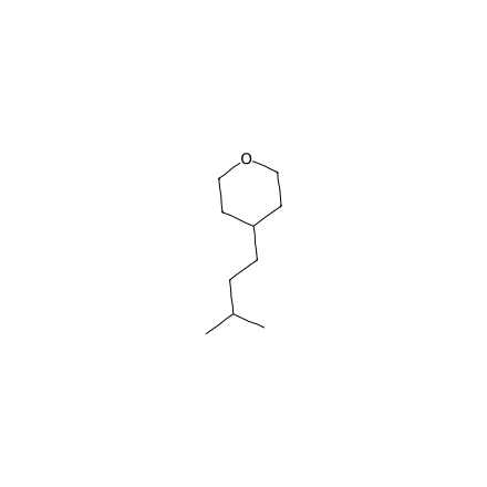 CC(C)CCC1CCOCC1